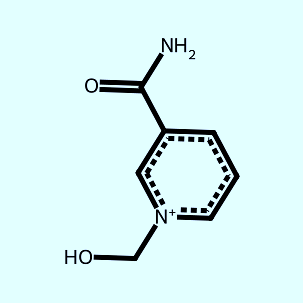 NC(=O)c1ccc[n+](CO)c1